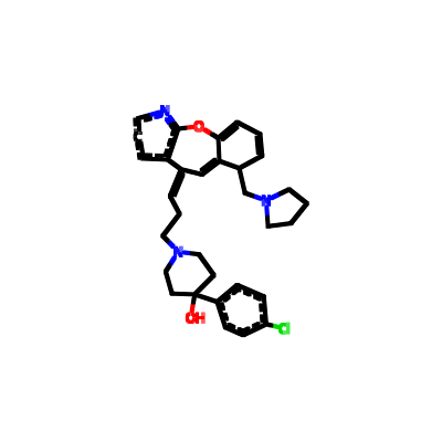 OC1(c2ccc(Cl)cc2)CCN(CCC=C2C=C3C(=CC=CC3CN3CCCC3)Oc3ncccc32)CC1